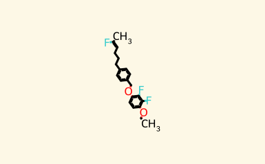 CCOc1ccc(OCc2ccc(CCC/C=C(/C)F)cc2)c(F)c1F